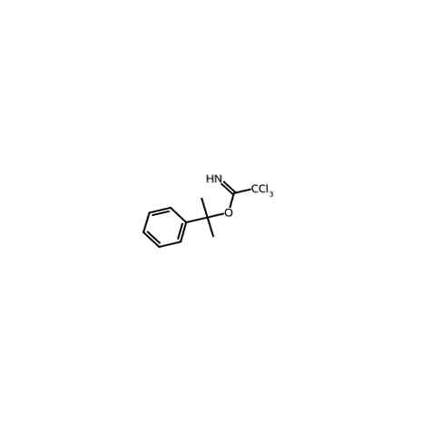 CC(C)(OC(=N)C(Cl)(Cl)Cl)c1ccccc1